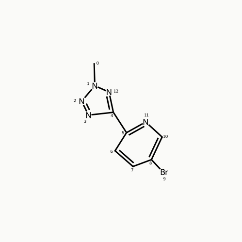 Cn1nnc(-c2ccc(Br)cn2)n1